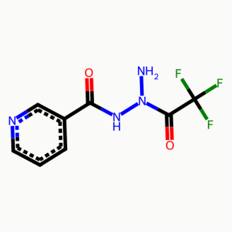 NN(NC(=O)c1cccnc1)C(=O)C(F)(F)F